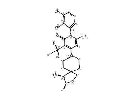 Cc1nc(N2CCC3(CC2)CO[C@@H](I)[C@H]3N)c(C(F)(F)F)c(=O)n1-c1cccc(Cl)c1Cl